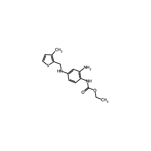 CCOC(=O)Nc1ccc(NCc2sccc2C)cc1N